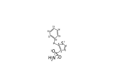 NS(=O)(=O)c1ccsc1Cc1ccccc1